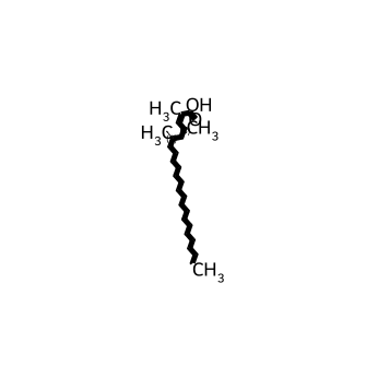 CCCCCCCCCCCCCCCCCC[C@H](C)C[C@H](C)C=C(C)C(=O)O